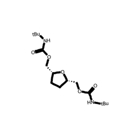 CC(C)(C)NC(=O)OC[C@H]1CC[C@@H](COC(=O)NC(C)(C)C)O1